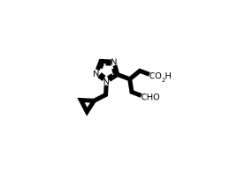 O=CCC(CC(=O)O)c1ncnn1CC1CC1